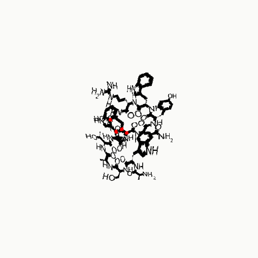 C[C@H](N)C(=O)N[C@@H](Cc1c[nH]c2ccccc12)C(=O)N[C@@H](CO)C(=O)N[C@@H](C)C(=O)N[C@H](C(=O)N[C@@H](Cc1c[nH]c2ccccc12)C(=O)N[C@@H](CO)C(=O)N[C@@H](CC(N)=O)C(=O)N[C@@H](Cc1ccc(O)cc1)C(=O)N[C@@H](Cc1c[nH]c2ccccc12)C(=O)N[C@@H](CCCNC(=N)N)C(=O)N[C@@H](Cc1c[nH]cn1)C(=O)O)[C@@H](C)O